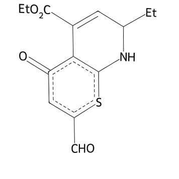 CCOC(=O)C1=CC(CC)Nc2sc(C=O)cc(=O)c21